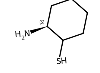 N[C@H]1CCCCC1S